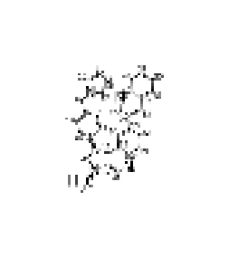 CN1CN(c2ccc(Cn3ccnc3)cc2)c2c1cnc1ccc(-c3cnc4ccccc4c3)cc21